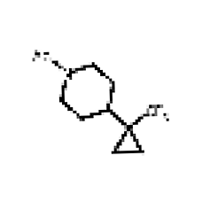 CC(=O)N1CCC(C2(C(F)(F)F)CC2)CC1